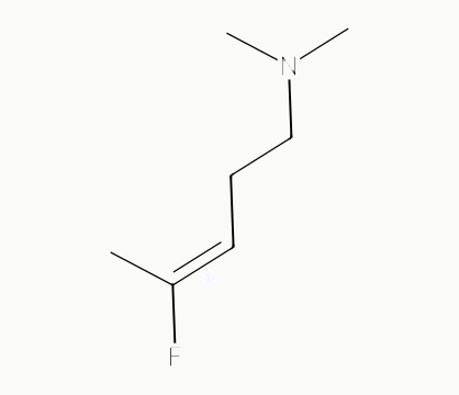 C/C(F)=C\CCN(C)C